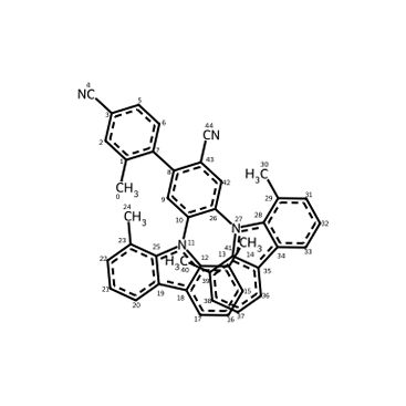 Cc1cc(C#N)ccc1-c1cc(-n2c3c(C)cccc3c3cccc(C)c32)c(-n2c3c(C)cccc3c3cccc(C)c32)cc1C#N